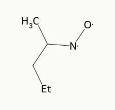 CCCC(C)[N][O]